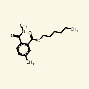 CCCCCCOC(=O)c1cc(C)ccc1C(=O)OC